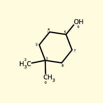 CC1(C)C[CH]C(O)CC1